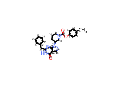 Cc1ccc(OC(=O)N2CCCC(n3ncc4c(=O)[nH]c(Cc5ccccc5)nc43)C2)cc1